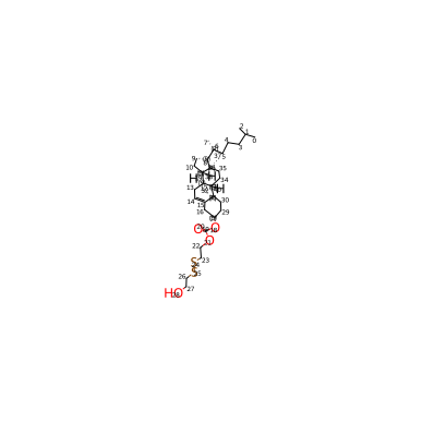 CC(C)CCC[C@@H](C)[C@H]1CC[C@H]2[C@@H]3CC=C4C[C@@H](OC(=O)OCCSSCCO)CC[C@]4(C)[C@H]3CC[C@]12C